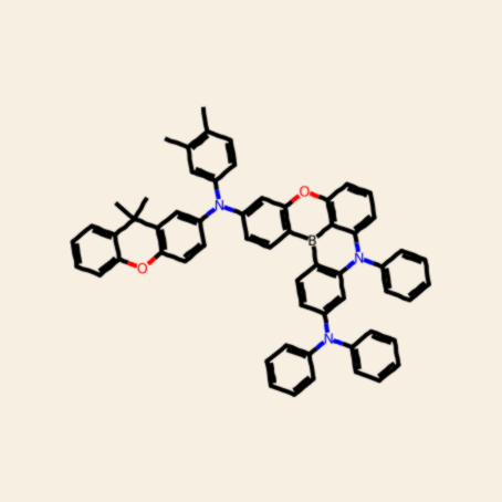 Cc1ccc(N(c2ccc3c(c2)Oc2cccc4c2B3c2ccc(N(c3ccccc3)c3ccccc3)cc2N4c2ccccc2)c2ccc3c(c2)C(C)(C)c2ccccc2O3)cc1C